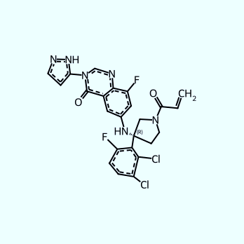 C=CC(=O)N1CC[C@@](Nc2cc(F)c3ncn(-c4ccn[nH]4)c(=O)c3c2)(c2c(F)ccc(Cl)c2Cl)C1